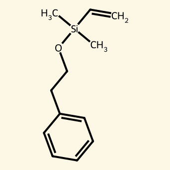 C=C[Si](C)(C)OCCc1ccccc1